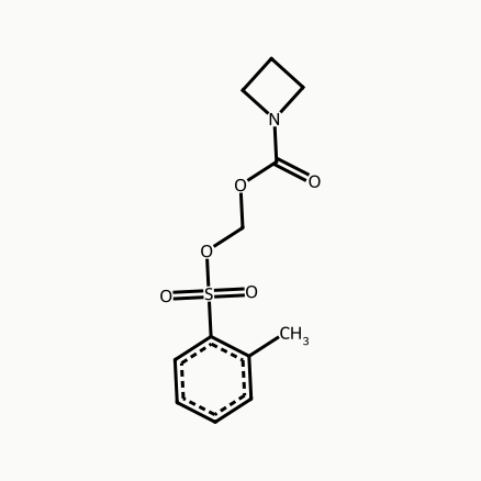 Cc1ccccc1S(=O)(=O)OCOC(=O)N1CCC1